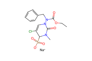 CCOC(=O)N(Cc1ccccc1)N1C=C(Cl)C(S(=O)(=O)[O-])N(C)C1=O.[Na+]